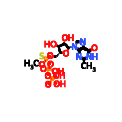 COP(=S)(OC[C@H]1O[C@@H](n2cnc3c(=O)[nH]c(C)nc32)[C@@H](O)C1O)OP(=O)(O)OP(=O)(O)O